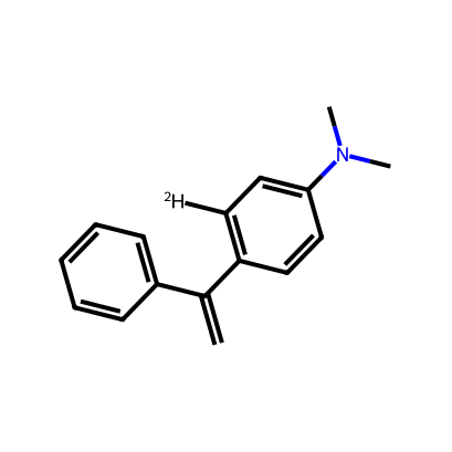 [2H]c1cc(N(C)C)ccc1C(=C)c1ccccc1